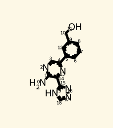 Nc1ncc(-c2cccc(CO)c2)nc1-c1nnc[nH]1